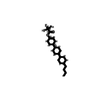 CCCCC1CCC(C2CCC(C3CC=C(OC(=O)C(F)(F)F)CC3)CC2)CC1